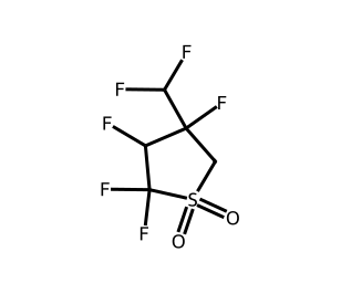 O=S1(=O)CC(F)(C(F)F)C(F)C1(F)F